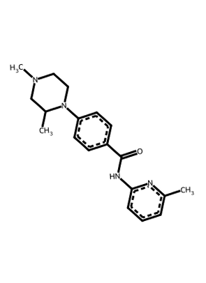 Cc1cccc(NC(=O)c2ccc(N3CCN(C)CC3C)cc2)n1